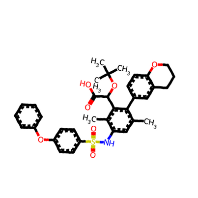 Cc1cc(NS(=O)(=O)c2ccc(Oc3ccccc3)cc2)c(C)c(C(OC(C)(C)C)C(=O)O)c1-c1ccc2c(c1)CCCO2